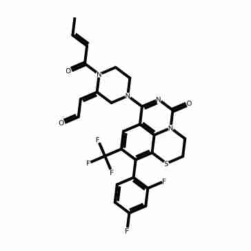 C/C=C/C(=O)N1CCN(c2nc(=O)n3c4c(c(-c5ccc(F)cc5F)c(C(F)(F)F)cc24)SCC3)C/C1=C\C=O